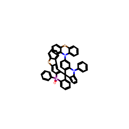 O=P1(c2ccccc2)c2ccccc2C2(c3ccccc3N(c3ccccc3)c3cc(N4c5ccccc5Sc5ccccc54)ccc32)c2cc3c(cc21)sc1ccccc13